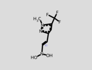 Cn1nc(/C=C/N(O)O)cc1C(F)(F)F